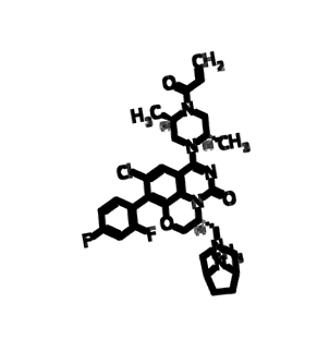 C=CC(=O)N1C[C@H](C)N(c2nc(=O)n3c4c(c(-c5ccc(F)cc5F)c(Cl)cc24)OC[C@H]3CN2CC3CCC(C2)N3C)C[C@H]1C